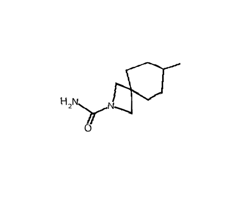 CC1CCC2(CC1)CN(C(N)=O)C2